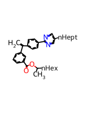 C=C(c1ccc(-c2ncc(CCCCCCC)cn2)cc1)c1cccc(C(=O)OC(C)CCCCCC)c1